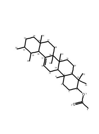 CC(=O)OC1CCC2(C)C(CCC3(C)C2CC=C2C4C(C)C(C)CCC4(C)CCC23C)C1(C)C